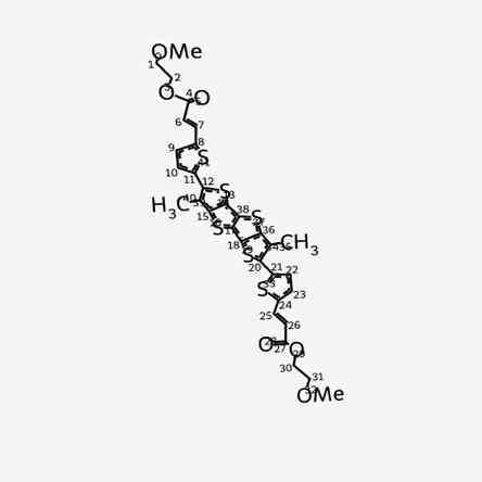 COCCOC(=O)/C=C/c1ccc(-c2sc3c(sc4c5sc(-c6ccc(/C=C/C(=O)OCCOC)s6)c(C)c5sc34)c2C)s1